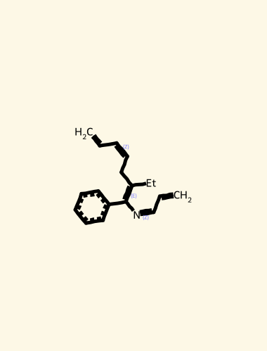 C=C/C=C\C/C(CC)=C(/N=C\C=C)c1ccccc1